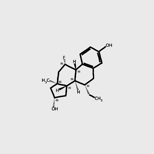 CC[C@H]1Cc2cc(O)ccc2[C@@H]2[C@@H]1[C@@H]1C[C@H](O)C[C@@]1(C)C[C@@H]2F